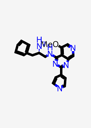 COc1cncc2nc(-c3ccncc3)nc(NC[C@@H](N)Cc3ccccc3)c12